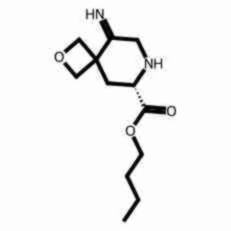 CCCCOC(=O)[C@@H]1CC2(COC2)C(=N)CN1